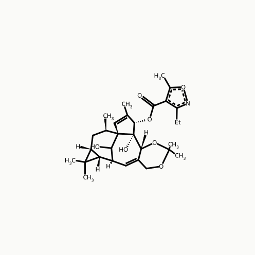 CCc1noc(C)c1C(=O)O[C@H]1C(C)=C[C@]23C(O)[C@@H](C=C4COC(C)(C)O[C@H]4[C@]12O)[C@H]1[C@@H](C[C@H]3C)C1(C)C